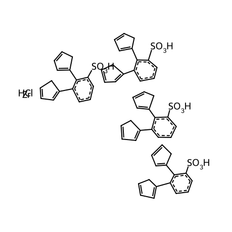 Cl.O=S(=O)(O)c1cccc(C2=CC=CC2)c1C1=CC=CC1.O=S(=O)(O)c1cccc(C2=CC=CC2)c1C1=CC=CC1.O=S(=O)(O)c1cccc(C2=CC=CC2)c1C1=CC=CC1.O=S(=O)(O)c1cccc(C2=CC=CC2)c1C1=CC=CC1.[Zr]